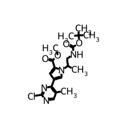 COC(=O)c1cc(-c2nc(Cl)ncc2C)cn1C(C)CNC(=O)OC(C)(C)C